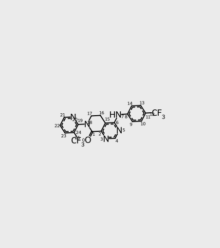 O=C1c2ncnc(Nc3ccc(C(F)(F)F)cc3)c2CCN1c1ncccc1C(F)(F)F